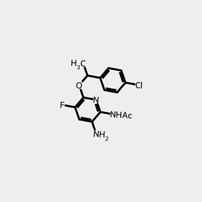 CC(=O)Nc1nc(OC(C)c2ccc(Cl)cc2)c(F)cc1N